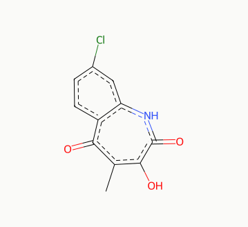 Cc1c(O)c(=O)[nH]c2cc(Cl)ccc2c1=O